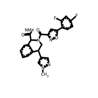 CNC(=O)C1c2ccccc2C(c2cnn(C)c2)CN1C(=O)c1cc(-c2ccc(F)cc2F)on1